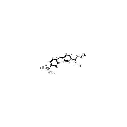 CCCCN(CCCC)c1ccc(Cc2ccc(N(C)CCC#N)cc2)cc1